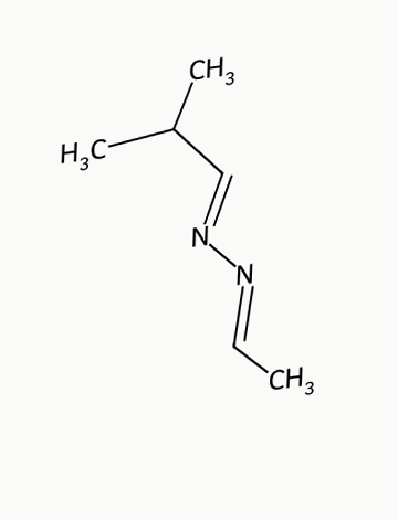 C/C=N/N=C/C(C)C